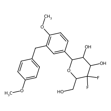 COc1ccc(Cc2cc(C3OC(CO)C(F)(F)C(O)C3O)ccc2OC)cc1